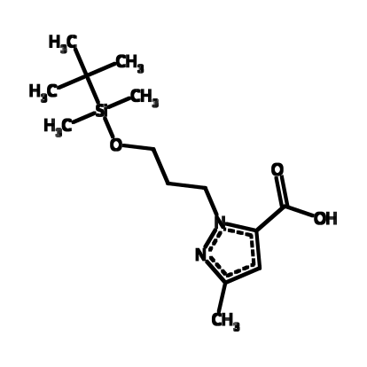 Cc1cc(C(=O)O)n(CCCO[Si](C)(C)C(C)(C)C)n1